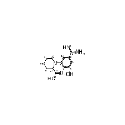 Cl.N=C(N)c1cccc(N2CCCC[C@@H]2C(=O)O)c1